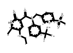 CCOc1cc(C(=O)N(Cc2ccc(S(C)(=O)=O)cc2)c2cccc(C(F)(F)F)c2)c(=O)[nH]c1C